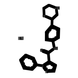 Cl.O=C(Nc1ccc(C2CNCCO2)cc1)c1ccnn1-c1ccccc1